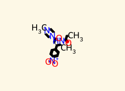 CCC(=O)N[C@H](C)[C@@H](CC(=O)N1CCN(C)CC1)c1ccc([N+](=O)[O-])cc1